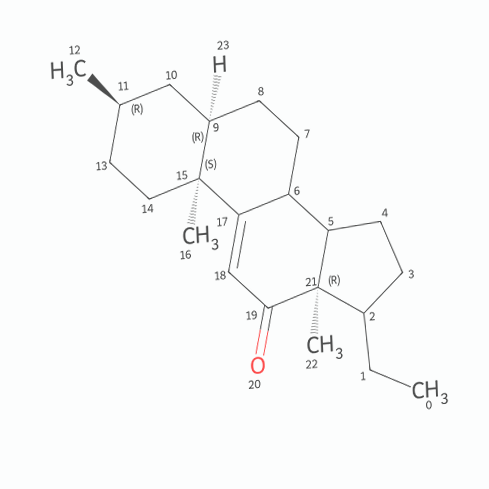 CCC1CCC2C3CC[C@@H]4C[C@H](C)CC[C@]4(C)C3=CC(=O)[C@]12C